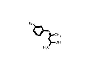 CC(CC(C)O)=Nc1cccc(C(C)(C)C)c1